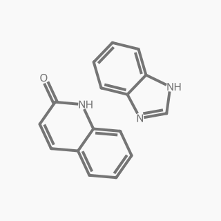 O=c1ccc2ccccc2[nH]1.c1ccc2[nH]cnc2c1